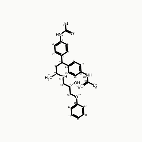 CCC(=O)Nc1ccc(C(C[C@H](C)NC[C@H](O)COc2ccccc2)c2ccc(NC(=O)CC)cc2)cc1